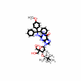 COc1ccc(C(Nc2nc3c(ncn3[C@H]3C[C@H](O[Si](C)(C)C(C)(C)C)C(CO)(CO)O3)c(=O)[nH]2)(c2ccccc2)c2ccccc2)cc1